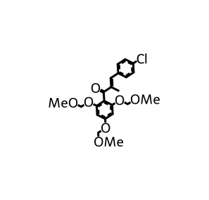 COCOc1cc(OCOC)c(C(=O)/C(C)=C/c2ccc(Cl)cc2)c(OCOC)c1